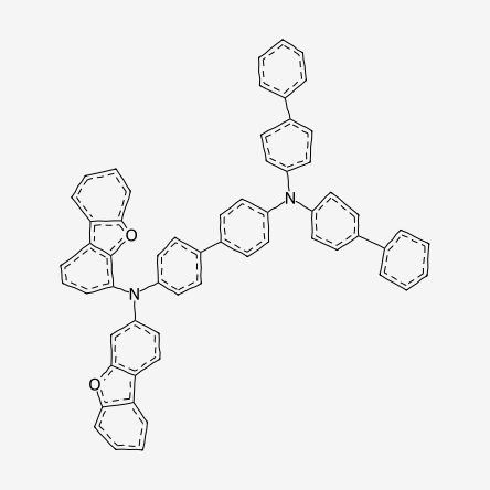 c1ccc(-c2ccc(N(c3ccc(-c4ccccc4)cc3)c3ccc(-c4ccc(N(c5ccc6c(c5)oc5ccccc56)c5cccc6c5oc5ccccc56)cc4)cc3)cc2)cc1